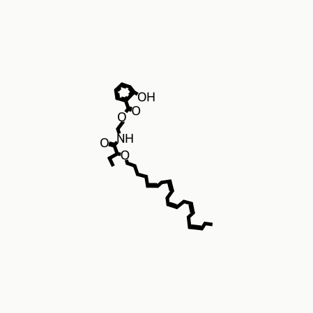 CC/C=C\C/C=C\C/C=C\C/C=C\C/C=C\CCCCOC(CC)C(=O)NCCOC(=O)c1ccccc1O